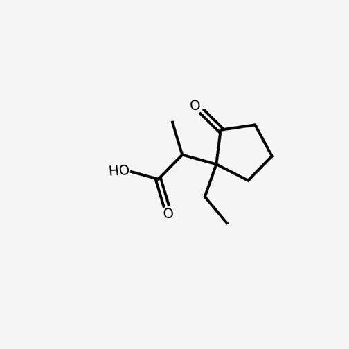 CCC1(C(C)C(=O)O)CCCC1=O